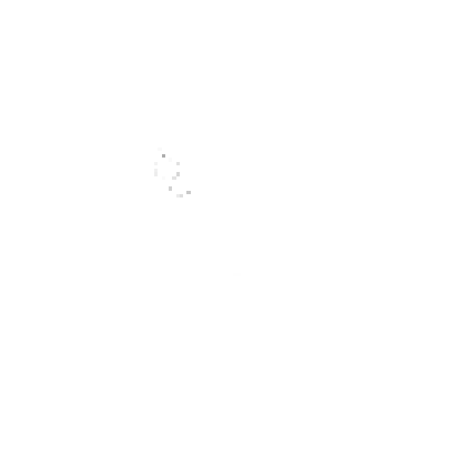 CCCC(C)(C)C(=O)OCNCCCCOc1ccc2ccc(=O)[nH]c2c1